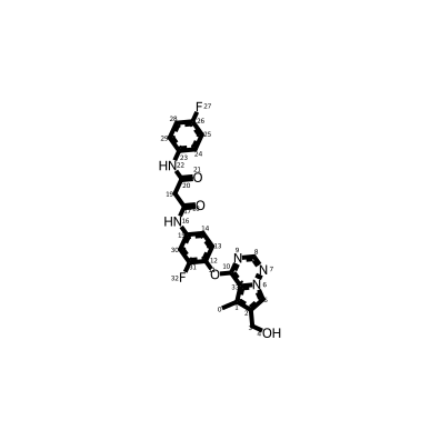 Cc1c(CO)cn2ncnc(Oc3ccc(NC(=O)CC(=O)Nc4ccc(F)cc4)cc3F)c12